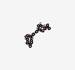 c1ccc(-c2nc(-c3ccc(-c4ccc(-c5nc(-c6ccccc6)nc(-c6cccc7sc8cc9sc%10c(-n%11c%12ccccc%12c%12ccccc%12%11)cccc%10c9cc8c67)n5)cc4)cc3)nc(-c3cccc4sc5cc6c(cc5c34)sc3c(-n4c5ccccc5c5ccccc54)cccc36)n2)cc1